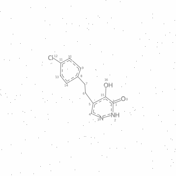 O=c1[nH]ncc(CCc2ccc(Cl)cc2)c1O